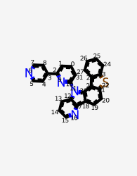 c1cc(-c2ccncc2)nc(-n2c3cccnc3c3ccc4sc5ccccc5c4c32)c1